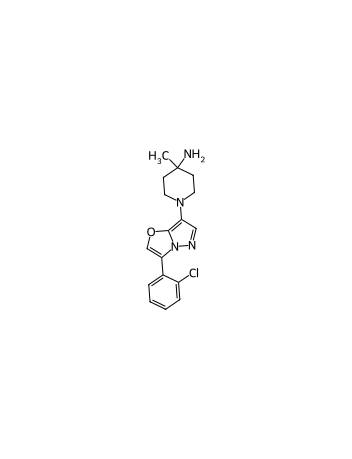 CC1(N)CCN(c2cnn3c(-c4ccccc4Cl)coc23)CC1